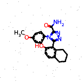 COc1ccc(-n2c(C(N)=O)nnc2-c2c(O)ccc3c2CCCC3)cc1